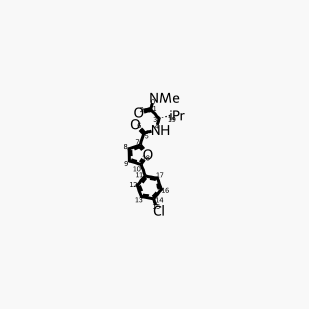 CNC(=O)[C@@H](NC(=O)c1ccc(-c2ccc(Cl)cc2)o1)C(C)C